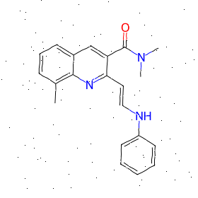 Cc1cccc2cc(C(=O)N(C)C)c(C=CNc3ccccc3)nc12